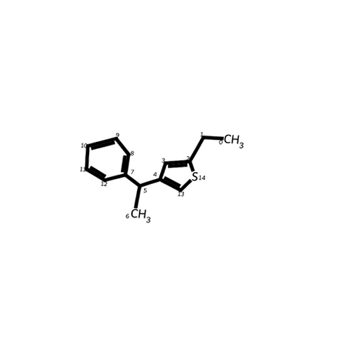 CCc1cc(C(C)c2ccccc2)cs1